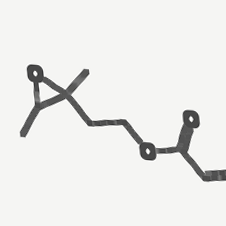 C=CC(=O)OCCC1(C)OC1C